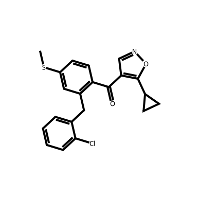 CSc1ccc(C(=O)c2cnoc2C2CC2)c(Cc2ccccc2Cl)c1